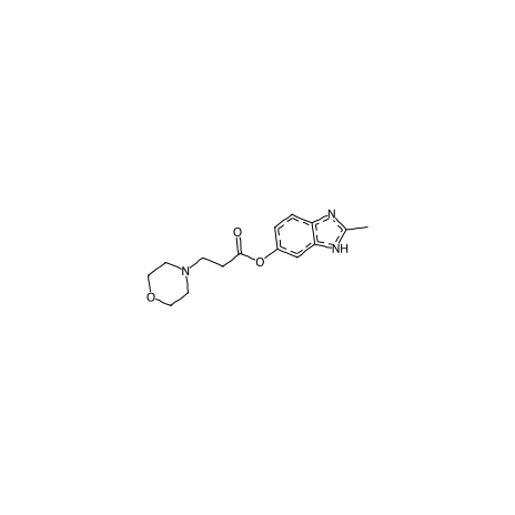 Cc1nc2ccc(OC(=O)CCN3CCOCC3)cc2[nH]1